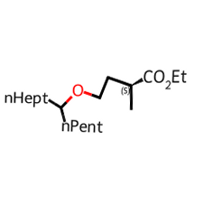 CCCCCCCC(CCCCC)OCC[C@H](C)C(=O)OCC